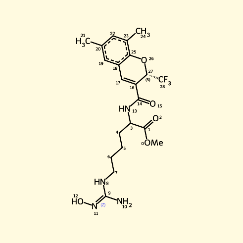 COC(=O)C(CCCCN/C(N)=N\O)NC(=O)C1=Cc2cc(C)cc(C)c2O[C@@H]1C(F)(F)F